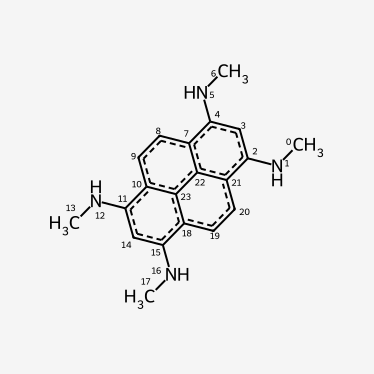 CNc1cc(NC)c2ccc3c(NC)cc(NC)c4ccc1c2c43